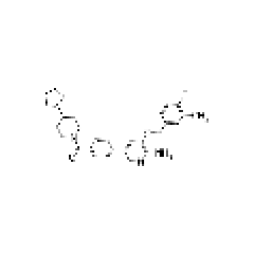 Cc1cc(COc2cc(-c3ccc(C(=O)N4CCC(N5CCCC5)CC4)cc3)cnc2N)ccc1F